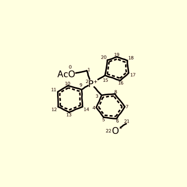 CC(=O)OC[P+](c1ccccc1)(c1ccccc1)c1ccccc1.C[O-]